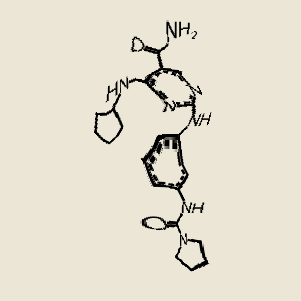 NC(=O)c1cnc(Nc2cccc(NC(=O)N3CCCC3)c2)nc1NC1CCCC1